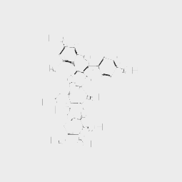 O=c1c(OC2O[C@H](CO)[C@@H](O)[C@H](OC3OC[C@@H](O)[C@H](O)[C@H]3O)[C@H]2O)c(-c2ccc(O)cc2)oc2cc(O)cc(O)c12